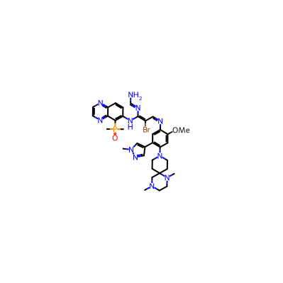 COc1cc(N2CCC3(CC2)CN(C)CCN3C)c(-c2cnn(C)c2)cc1\N=C/C(Br)=C(\N=C\N)Nc1ccc2nccnc2c1P(C)(C)=O